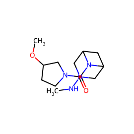 CNN1CC2CC(C1)N2C(=O)N1CCC(OC)C1